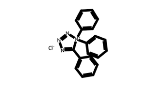 [Cl-].c1ccc(C2=NN=N[N+]2(c2ccccc2)c2ccccc2)cc1